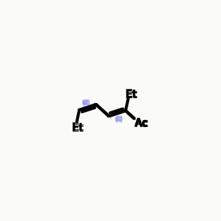 CC/C=C\C=C(/CC)C(C)=O